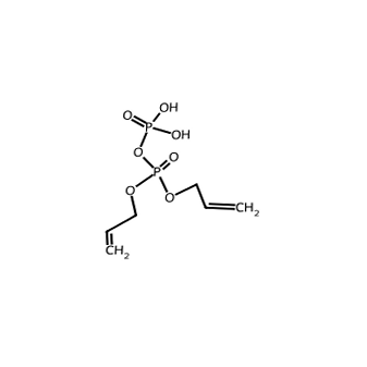 C=CCOP(=O)(OCC=C)OP(=O)(O)O